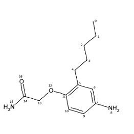 CCCCCc1cc(N)ccc1OCC(N)=O